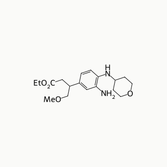 CCOC(=O)CC(COC)c1ccc(NC2CCOCC2)c(N)c1